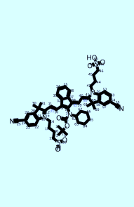 CC(C)(C)OC(=O)N(C1=C(/C=C/C2=[N+](CCCC[SH](=O)=O)c3ccc(C#N)cc3C2(C)C)c2ccccc2/C1=C\C=C1\N(CCCCS(=O)(=O)O)c2ccc(C#N)cc2C1(C)C)C1CCCCC1